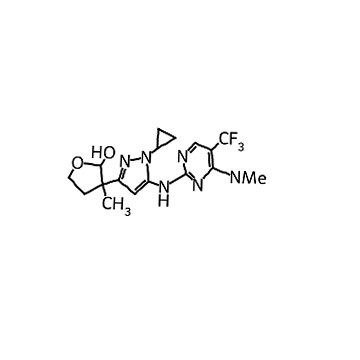 CNc1nc(Nc2cc(C3(C)CCOC3O)nn2C2CC2)ncc1C(F)(F)F